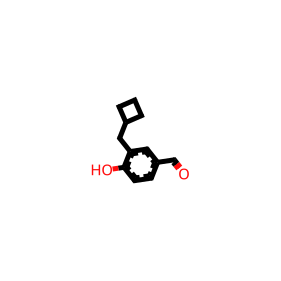 O=Cc1ccc(O)c(CC2CCC2)c1